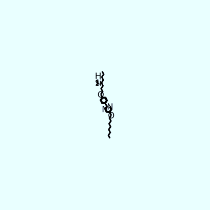 CCCCCCCCOc1cnc(-c2ccc(OCCCC(CCCC)[SiH](C)C)cc2)nc1